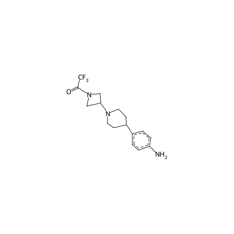 Nc1ccc(C2CCN(C3CN(C(=O)C(F)(F)F)C3)CC2)cc1